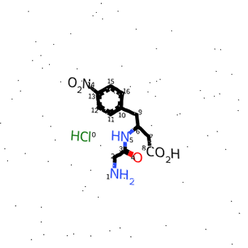 Cl.NCC(=O)NC(CC(=O)O)Cc1ccc([N+](=O)[O-])cc1